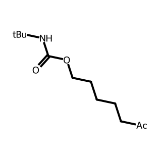 CC(=O)CCCCCOC(=O)NC(C)(C)C